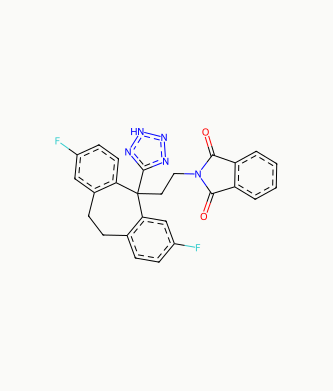 O=C1c2ccccc2C(=O)N1CCC1(c2nn[nH]n2)c2ccc(F)cc2CCc2ccc(F)cc21